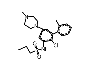 CCCS(=O)(=O)Nc1cc(N2CCN(C)CC2)cc(-c2ccccc2C)c1Cl